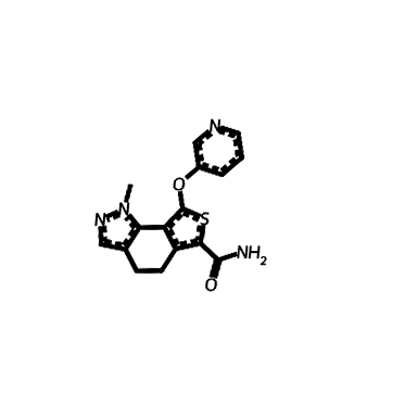 Cn1ncc2c1-c1c(Oc3cccnc3)sc(C(N)=O)c1CC2